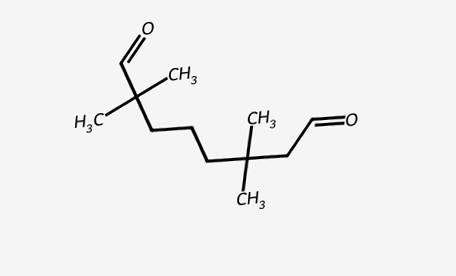 CC(C)(C=O)CCCC(C)(C)CC=O